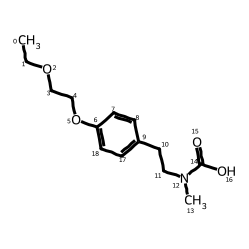 CCOCCOc1ccc(CCN(C)C(=O)O)cc1